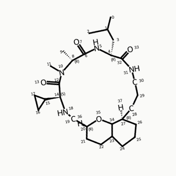 CC(C)C[C@H]1NC(=O)[C@@H](C)N(C)C(=O)[C@H](C2CC2)NC[C@H]2CCC3CCC[C@H](CCCNC1=O)C3O2